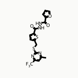 Cc1cc(C(F)(F)F)nc(SCc2ccc(C(=O)NNC(=O)c3ccco3)s2)n1